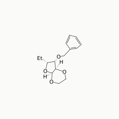 CC[C@H]1O[C@@H]2OCCO[C@@H]2[C@H]1OCc1ccccc1